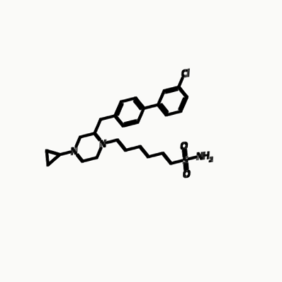 NS(=O)(=O)CCCCCCN1CCN(C2CC2)CC1Cc1ccc(-c2cccc(Cl)c2)cc1